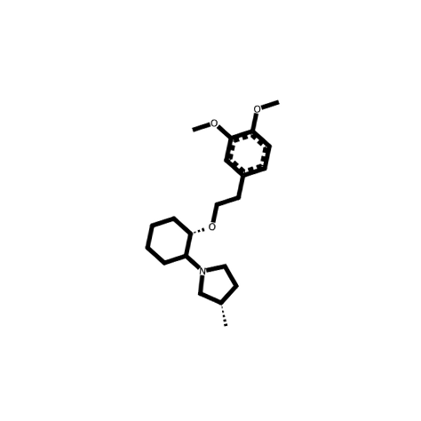 COc1ccc(CCO[C@H]2CCCCC2N2CC[C@H](C)C2)cc1OC